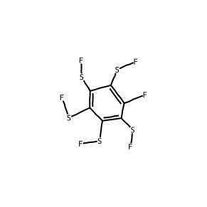 FSc1c(F)c(SF)c(SF)c(SF)c1SF